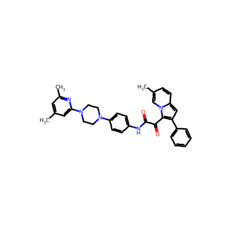 Cc1cc(C)nc(N2CCN(c3ccc(NC(=O)C(=O)c4c(-c5ccccc5)cc5ccc(C)cn45)cc3)CC2)c1